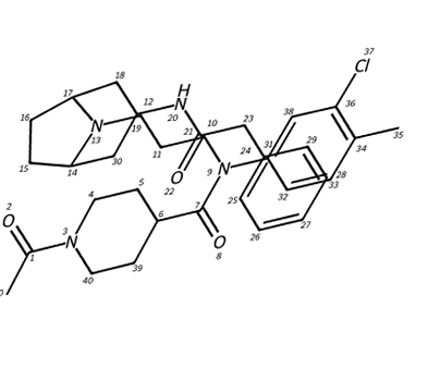 CC(=O)N1CCC(C(=O)N(CCCN2C3CCC2CC(NC(=O)Cc2ccccc2)C3)c2ccc(C)c(Cl)c2)CC1